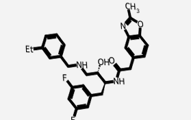 CCc1cccc(CNC[C@H](O)[C@H](Cc2cc(F)cc(F)c2)NC(=O)Cc2ccc3oc(C)nc3c2)c1